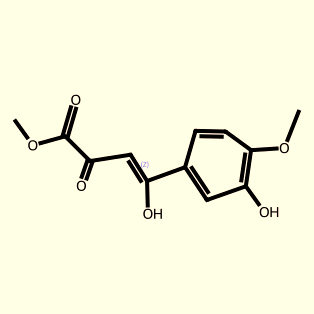 COC(=O)C(=O)/C=C(\O)c1ccc(OC)c(O)c1